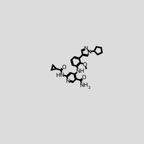 COc1c(Nc2cc(NC(=O)C3CC3)ncc2C(N)=O)cccc1-c1cnn(C2CCCC2)c1